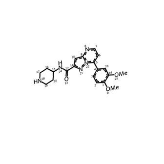 COc1ccc(-c2ccnc3cc(C(=O)NC4CCNCC4)nn23)cc1OC